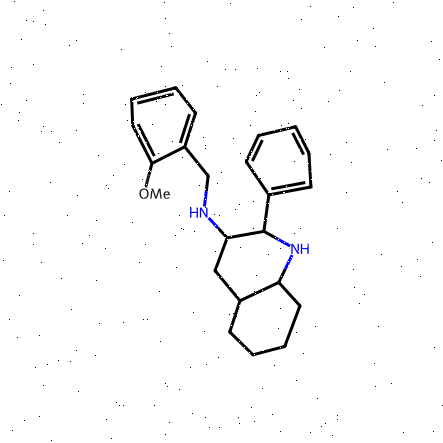 COc1ccccc1CNC1CC2CCCCC2NC1c1ccccc1